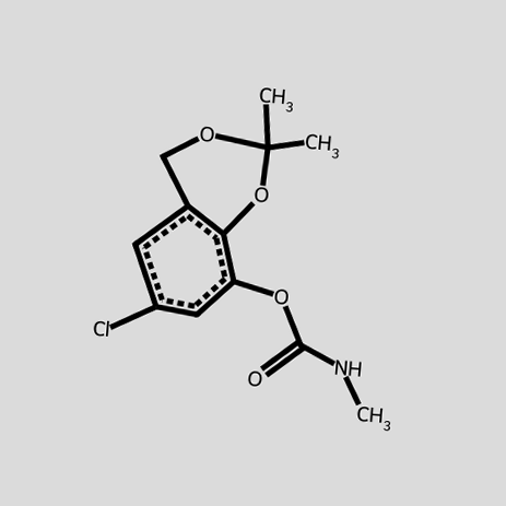 CNC(=O)Oc1cc(Cl)cc2c1OC(C)(C)OC2